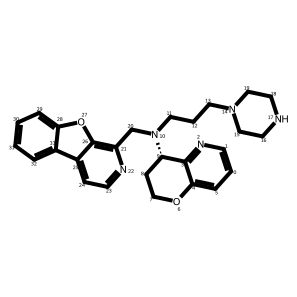 c1cnc2c(c1)OCC[C@@H]2N(CCCN1CCNCC1)Cc1nccc2c1oc1ccccc12